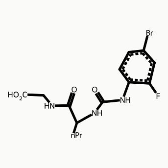 CCCC(NC(=O)Nc1ccc(Br)cc1F)C(=O)NCC(=O)O